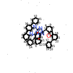 c1ccc(-c2nc(-c3cccc4c3oc3c(-c5ccccc5)cccc34)nc(-n3c4ccccc4c4ccc5c6ccccc6n(-c6ccccc6-c6ccccc6)c5c43)n2)cc1